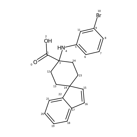 O=C(O)C1(Nc2cccc(Br)c2)CCC2(C=Cc3ccccc32)CC1